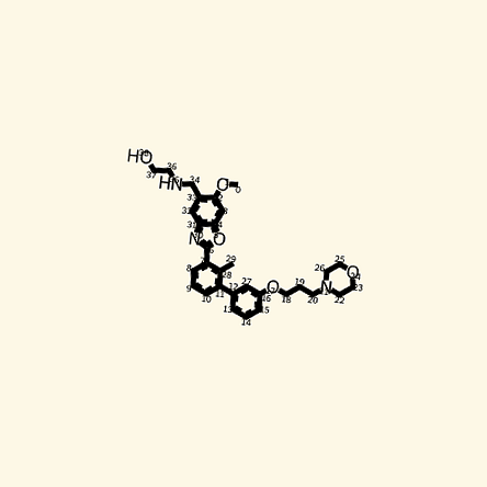 COc1cc2oc(-c3cccc(-c4cccc(OCCCN5CCOCC5)c4)c3C)nc2cc1CNCCO